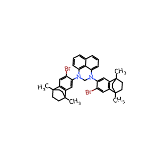 CC12CCC(C)(CC1)c1cc(N3CN(c4cc5c(cc4Br)C4(C)CCC5(C)CC4)c4cccc5cccc3c45)c(Br)cc12